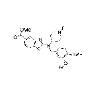 CCOc1cc(CN(c2nc3cc(C(=O)OC)ccc3o2)C2CCN(F)CC2)ccc1OC